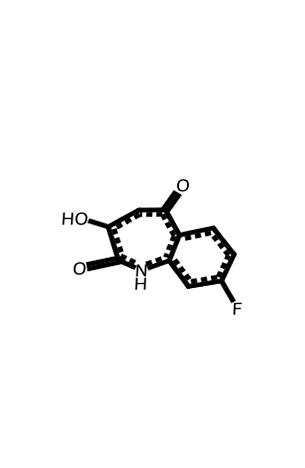 O=c1[nH]c2cc(F)ccc2c(=O)cc1O